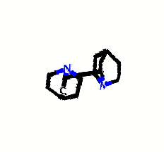 C1CN2CCC1C[C]2C1CC2CCN1CC2